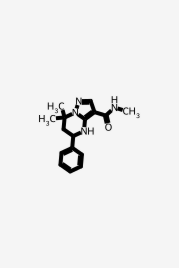 CNC(=O)c1cnn2c1NC(c1ccccc1)CC2(C)C